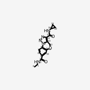 CCNC(=O)c1ccc2c(c1)OCc1c(C(=O)NC3CC3)nnn1-2